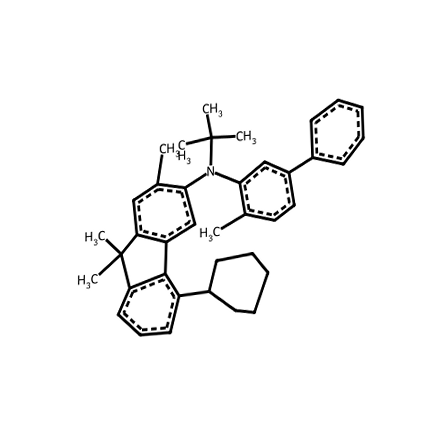 Cc1ccc(-c2ccccc2)cc1N(c1cc2c(cc1C)C(C)(C)c1cccc(C3CCCCC3)c1-2)C(C)(C)C